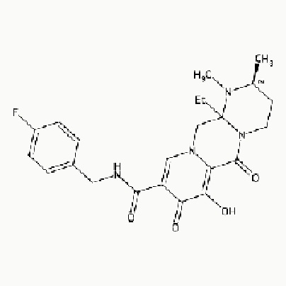 CCC12Cn3cc(C(=O)NCc4ccc(F)cc4)c(=O)c(O)c3C(=O)N1CC[C@H](C)N2C